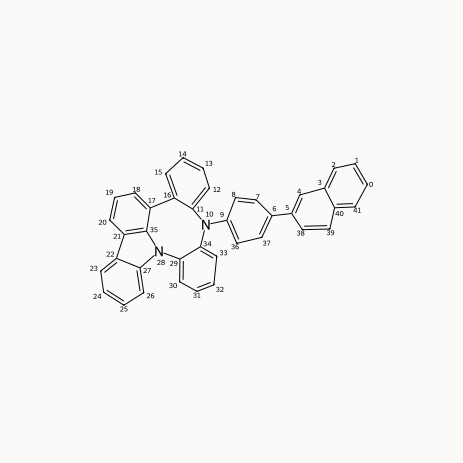 c1ccc2cc(-c3ccc(-n4c5ccccc5c5cccc6c7ccccc7n(c7ccccc74)c56)cc3)ccc2c1